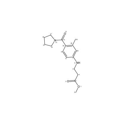 COC(=O)CCNc1ccc(C(=O)N2CCCC2)c(C)c1